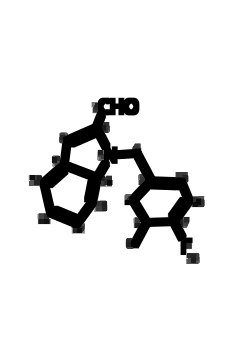 CC1CC(Cn2c(C=O)cc3ccccc32)=CC=C1F